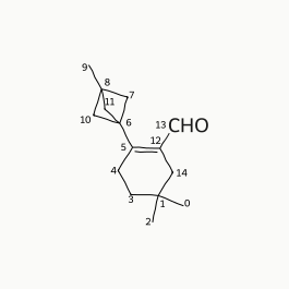 CC1(C)CCC(C23CC(C)(C2)C3)=C(C=O)C1